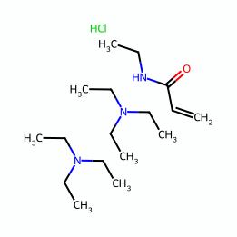 C=CC(=O)NCC.CCN(CC)CC.CCN(CC)CC.Cl